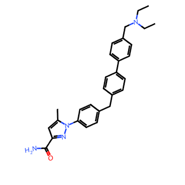 CCN(CC)Cc1ccc(-c2ccc(Cc3ccc(-n4nc(C(N)=O)cc4C)cc3)cc2)cc1